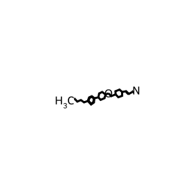 CCCCCc1ccc(C2CCC(OCC3CCC(C=CC#N)CC3)CC2)cc1